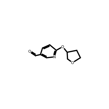 O=[C]c1ccc(OC2CCOC2)nc1